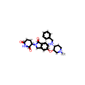 CCN1CC[C@@H](NCc2ccccc2)[C@H](Oc2ccc3c(c2)CN(C2CCC(=O)NC2=O)C3=O)C1